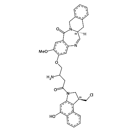 COc1cc2c(cc1OCC(N)CC(=O)N1C[C@@H](CCl)c3c1cc(O)c1ccccc31)N=C[C@@H]1Cc3ccccc3CN1C2=O